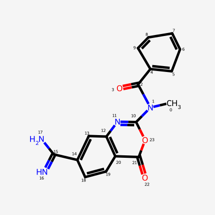 CN(C(=O)c1ccccc1)c1nc2cc(C(=N)N)ccc2c(=O)o1